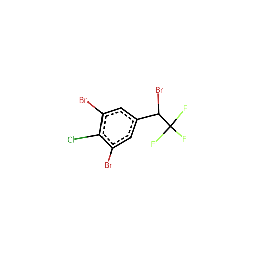 FC(F)(F)C(Br)c1cc(Br)c(Cl)c(Br)c1